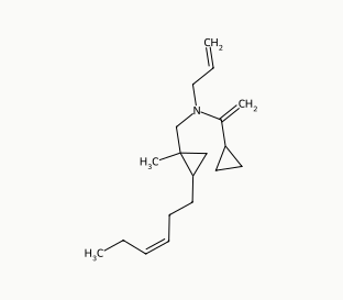 C=CCN(CC1(C)CC1CC/C=C\CC)C(=C)C1CC1